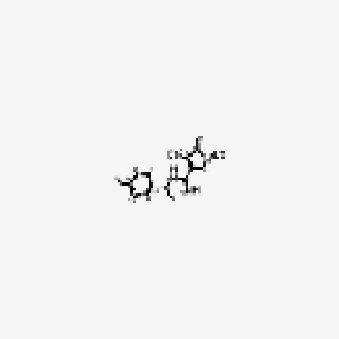 C=C1C(CC)=C(C(=N)NC(C)c2ccc(C)cc2)CN1CC